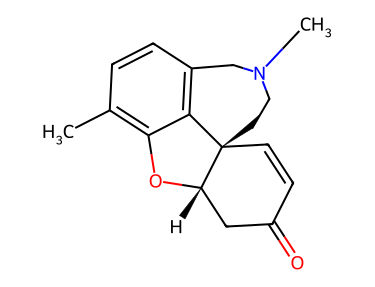 Cc1ccc2c3c1O[C@H]1CC(=O)C=C[C@@]31CCN(C)C2